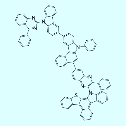 c1ccc(-c2nc3cc(-c4cc5c(c6ccccc46)c4cc(-c6ccc7c(c6)c6ccccc6n7-c6nc(-c7ccccc7)c7ccccc7n6)ccc4n5-c4ccccc4)ccc3nc2-n2c3ccccc3c3c4ccccc4c4c5ccccc5sc4c32)cc1